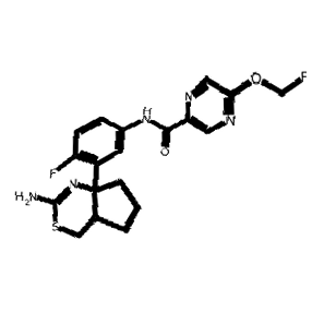 NC1=NC2(c3cc(NC(=O)c4cnc(OCF)cn4)ccc3F)CCCC2CS1